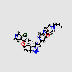 CC(Oc1ccc2[nH]nc(/C=C/c3ccc(N=S4(=O)CCN(C)CC4)cn3)c2c1)c1c(Cl)cncc1Cl